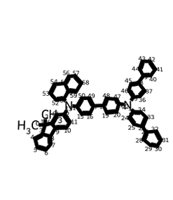 CC1(C)c2ccccc2-c2ccc(N(c3ccc(-c4ccc(N(c5ccc(-c6ccccc6)cc5)c5ccc(-c6ccccc6)cc5)cc4)cc3)c3cccc4ccccc34)cc21